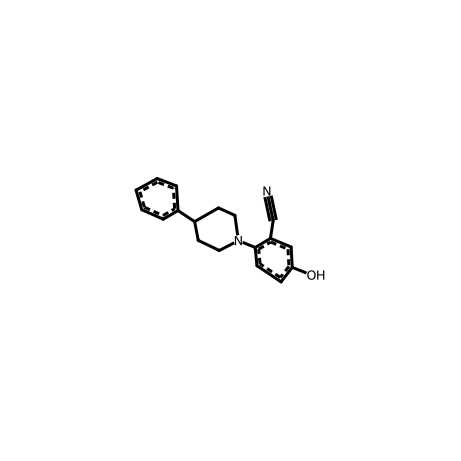 N#Cc1cc(O)ccc1N1CCC(c2ccccc2)CC1